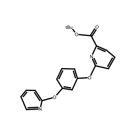 CC(C)(C)OC(=O)c1cccc(Oc2cccc(Oc3ccccn3)c2)n1